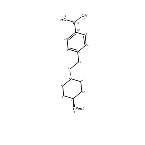 CCCCC[C@H]1CC[C@H](CCc2ccc(B(O)O)cc2)CC1